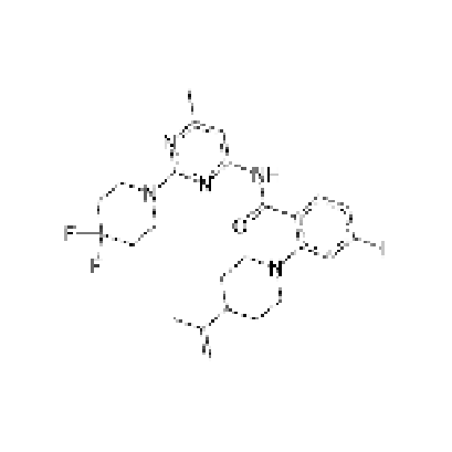 C=C(C)C1CCN(c2cc(I)ccc2C(=O)Nc2cc(C)nc(N3CCC(F)(F)CC3)n2)CC1